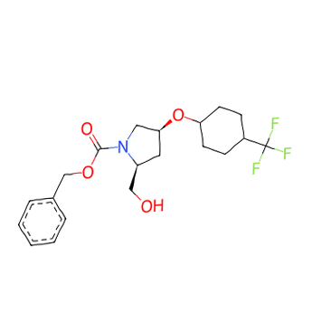 O=C(OCc1ccccc1)N1C[C@@H](OC2CCC(C(F)(F)F)CC2)C[C@H]1CO